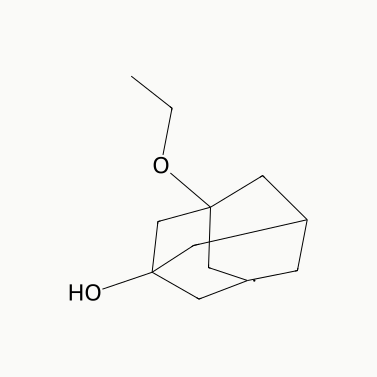 CCOC12C[C]3CC(CC(O)(C3)C1)C2